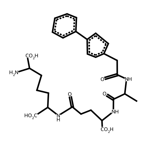 CC(NC(=O)Cc1ccc(-c2ccccc2)cc1)C(=O)NC(CCC(=O)NC(CCCC(N)C(=O)O)C(=O)O)C(=O)O